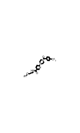 CC(C)OCCCNC(=O)c1ccc(N2CCN(C(=O)c3ccc(C(F)(F)F)cc3)CC2)nc1